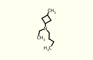 CCCCN(CC)C1CC(C)C1